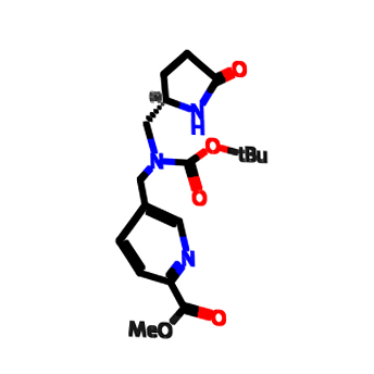 COC(=O)c1ccc(CN(C[C@@H]2CCC(=O)N2)C(=O)OC(C)(C)C)cn1